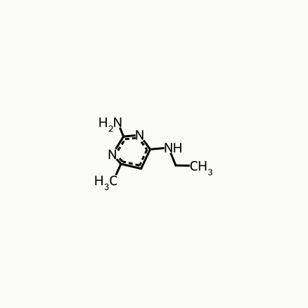 CCNc1cc(C)nc(N)n1